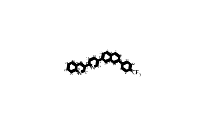 FC(F)(F)c1ccc(-c2ccc3ccc(-c4ccc(-c5cnc6ccccc6c5)nc4)cc3c2)cc1